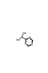 OC(O)c1ncncn1